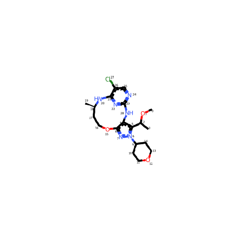 COC(C)c1c2c(nn1C1CCOCC1)OCC[C@@H](C)Nc1nc(ncc1Cl)N2